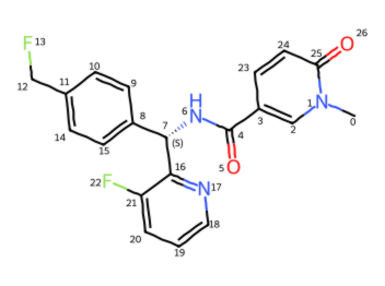 Cn1cc(C(=O)N[C@@H](c2ccc(CF)cc2)c2ncccc2F)ccc1=O